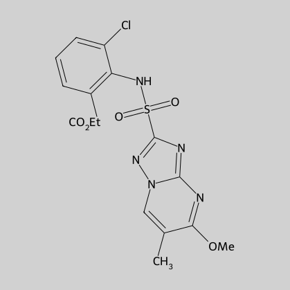 CCOC(=O)c1cccc(Cl)c1NS(=O)(=O)c1nc2nc(OC)c(C)cn2n1